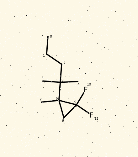 CCCC(C)(C)C1(C)CC1(F)F